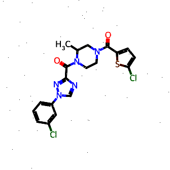 CC1CN(C(=O)c2ccc(Cl)s2)CCN1C(=O)c1ncn(-c2cccc(Cl)c2)n1